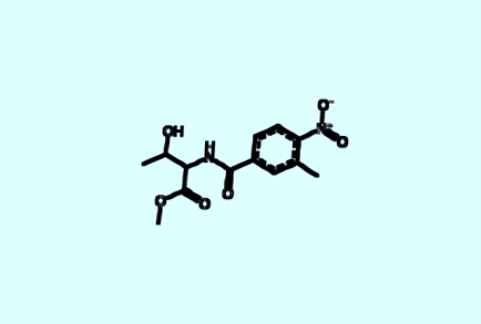 COC(=O)C(NC(=O)c1ccc([N+](=O)[O-])c(C)c1)C(C)O